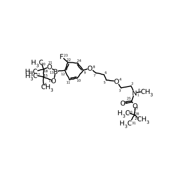 CN(CCOCCCOc1ccc(B2OC(C)(C)C(C)(C)O2)c(F)c1)C(=O)OC(C)(C)C